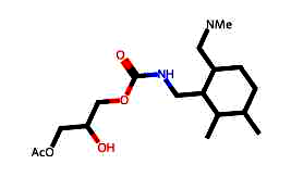 CNCC1CCC(C)C(C)C1CNC(=O)OCC(O)COC(C)=O